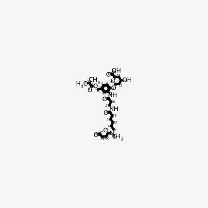 CC(C)C(=O)OCc1ccc(OC2CC(O)CC(C(=O)O)O2)c(NC(=O)CCNC(=O)CCCCCN(C)C(=O)/C=C\C=O)c1